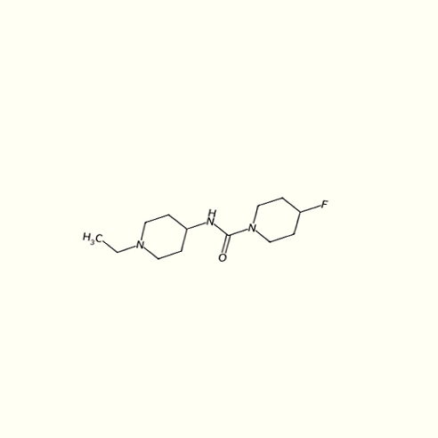 CCN1CCC(NC(=O)N2CCC(F)CC2)CC1